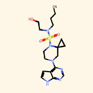 N#CCCCN(CCO)S(=O)(=O)N1CCN(c2ncnc3[nH]ccc23)CC12CC2